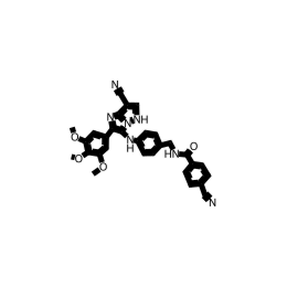 COc1cc(-c2nc3c(C#N)c[nH]n3c2Nc2ccc(CNC(=O)c3ccc(C#N)cc3)cc2)cc(OC)c1OC